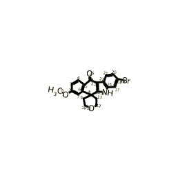 COc1ccc2c(c1)C1(CCOCC1)c1[nH]c3cc(Br)ccc3c1C2=O